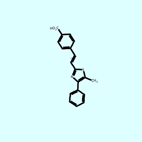 Cc1sc(/C=C/c2ccc(C(=O)O)cc2)nc1-c1ccccc1